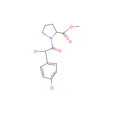 COC(=O)C1CCCN1C(=O)C(Cl)c1ccc(Cl)cc1